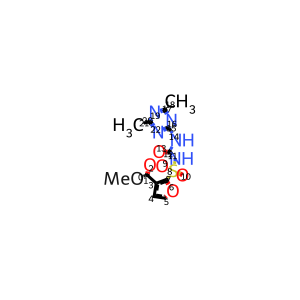 COC(=O)c1ccoc1S(=O)(=O)NC(=O)Nc1nc(C)nc(C)n1